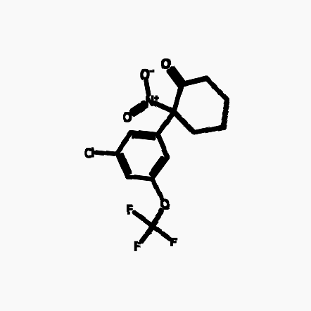 O=C1CCCCC1(c1cc(Cl)cc(OC(F)(F)F)c1)[N+](=O)[O-]